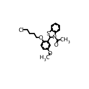 COc1ccc(OCCCCCl)c(C2Sc3ccccc3N2C(C)=O)c1